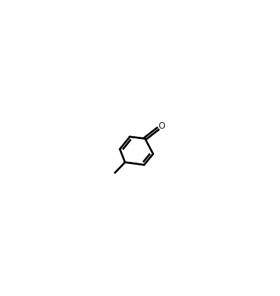 CC1C=CC(=O)C=C1